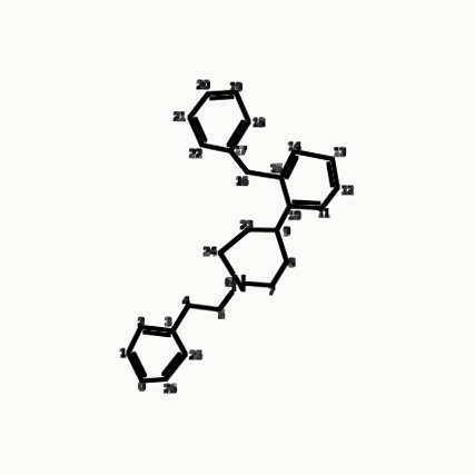 c1ccc(CCN2CCC(c3ccccc3Cc3ccccc3)CC2)cc1